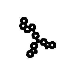 c1ccc2c(c1)ccc1ccc3c(-c4ccc(N(c5ccc6c(c5)oc5ccccc56)c5ccc6c(c5)sc5ccccc56)cc4)cccc3c12